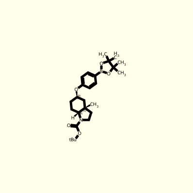 CC(C)(C)OC(=O)N1CC[C@@]2(C)C[C@H](Oc3ccc(B4OC(C)(C)C(C)(C)O4)cc3)CC[C@@H]12